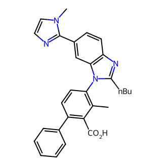 CCCCc1nc2ccc(-c3nccn3C)cc2n1-c1ccc(-c2ccccc2)c(C(=O)O)c1C